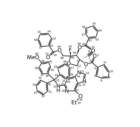 C#C[C@]1(OC(=O)c2ccccc2)[C@H](n2cnc3c(OCC)nc(NC(c4ccccc4)(c4ccccc4)c4ccc(OC)cc4)nc32)O[C@](F)(COC(=O)c2ccccc2)[C@H]1OC(=O)c1ccccc1